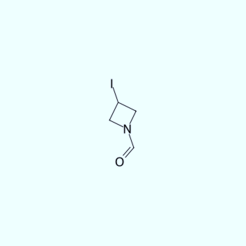 O=CN1CC(I)C1